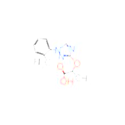 Cc1ccccc1-n1cnc(OC(C)C(=O)O)n1